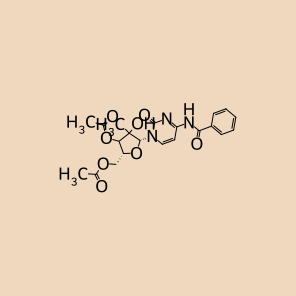 CC(=O)OC[C@H]1O[C@@H](n2ccc(NC(=O)c3ccccc3)nc2=O)C(C)(O)C1OC(C)=O